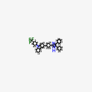 FC(F)(F)c1ccc(-n2c3ccccc3c3cc(-c4ccc(-c5nc(-c6ccccc6)c(-c6ccccc6)[nH]5)cc4)ccc32)cc1